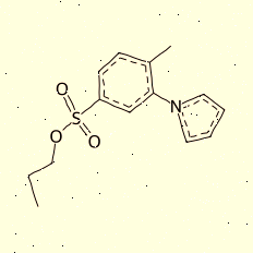 CCCOS(=O)(=O)c1ccc(C)c(-n2cccc2)c1